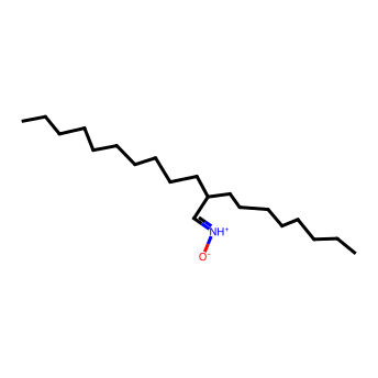 CCCCCCCCCCC(C=[NH+][O-])CCCCCCCC